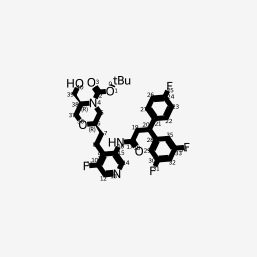 CC(C)(C)OC(=O)N1C[C@@H](CCc2c(F)cncc2NC(=O)CC(c2ccc(F)cc2)c2cc(F)cc(F)c2)OC[C@H]1CO